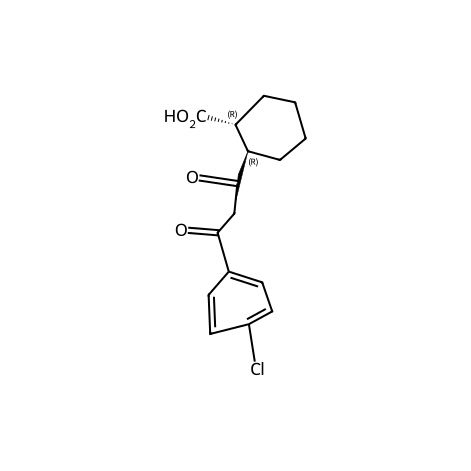 O=C(CC(=O)[C@@H]1CCCC[C@H]1C(=O)O)c1ccc(Cl)cc1